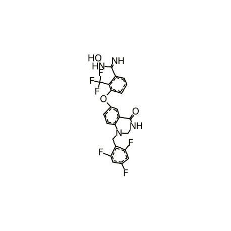 N=C(NO)c1cccc(Oc2ccc3c(c2)C(=O)NCN3Cc2c(F)cc(F)cc2F)c1C(F)(F)F